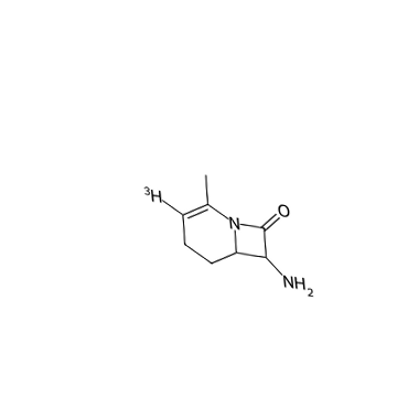 [3H]C1=C(C)N2C(=O)C(N)C2CC1